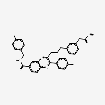 CN(Cc1ccc(F)cc1)C(=O)c1ccc2nc(-c3ccc(F)cc3)c(CCCc3cccc(CC(=O)N=O)c3)nc2c1